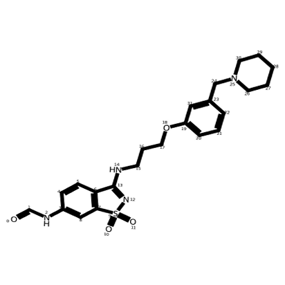 O=CNc1ccc2c(c1)S(=O)(=O)N=C2NCCCOc1cccc(CN2CCCCC2)c1